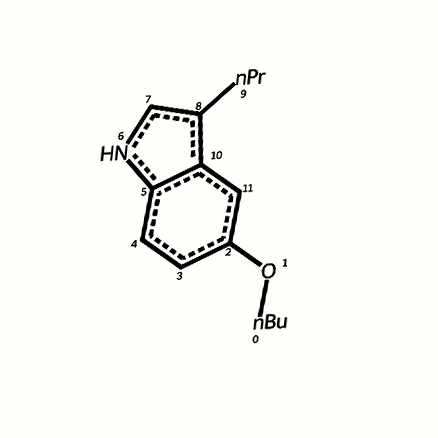 CCCCOc1ccc2[nH]cc(CCC)c2c1